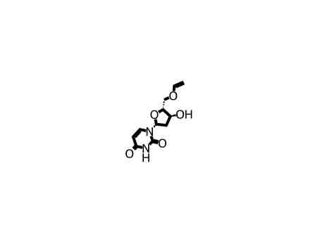 C=COC[C@H]1O[C@@H](n2ccc(=O)[nH]c2=O)C[C@@H]1O